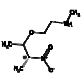 CNCCOC(C)[C@@H](C)[N+](=O)[O-]